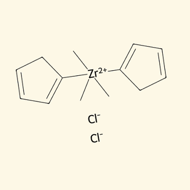 [CH3][Zr+2]([CH3])([CH3])([C]1=CC=CC1)[C]1=CC=CC1.[Cl-].[Cl-]